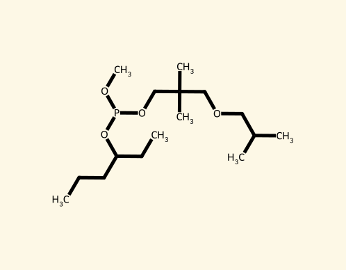 CCCC(CC)OP(OC)OCC(C)(C)COCC(C)C